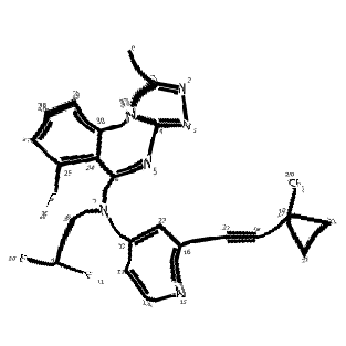 Cc1nnc2nc(N(CC(F)F)c3ccnc(C#CC4(C(F)(F)F)CC4)c3)c3c(F)cccc3n12